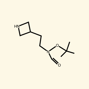 CC(C)(C)ON(C=O)CCC1CNC1